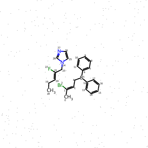 CC(Br)=CCB(c1ccccc1)c1ccccc1.CCC=C(F)Cn1ccnc1